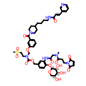 CN(CC(=O)Nc1cc(COC(=O)N(CCS(C)(=O)=O)COc2cccc(C(=O)N3CCC(CCCCNC(=O)/C=C/c4cccnc4)CC3)c2)ccc1O[C@@H]1OC[C@@H](O)[C@H](O)[C@H]1O)C(=O)CCN1C(=O)C=CC1=O